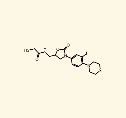 O=C(CS)NCC1CN(c2ccc(N3CCSCC3)c(F)c2)C(=O)O1